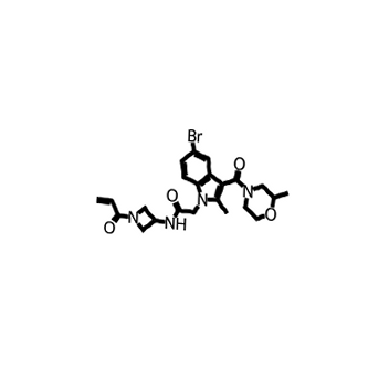 C=CC(=O)N1CC(NC(=O)Cn2c(C)c(C(=O)N3CCOC(C)C3)c3cc(Br)ccc32)C1